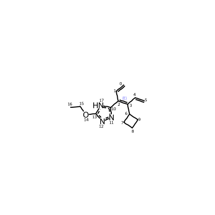 C=C/C(=C(\C=C)C1CCC1)c1nnc(OCC)[nH]1